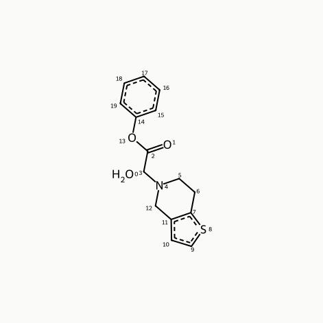 O.O=C(CN1CCc2sccc2C1)Oc1ccccc1